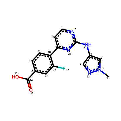 Cn1cc(Nc2nccc(-c3ccc(C(=O)O)cc3F)n2)cn1